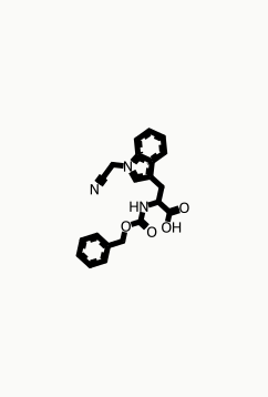 N#CCn1cc(CC(NC(=O)OCc2ccccc2)C(=O)O)c2ccccc21